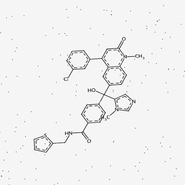 Cn1cncc1C(O)(c1ccc(C(=O)NCc2cccs2)cc1)c1ccc2c(c1)c(-c1cccc(Cl)c1)cc(=O)n2C